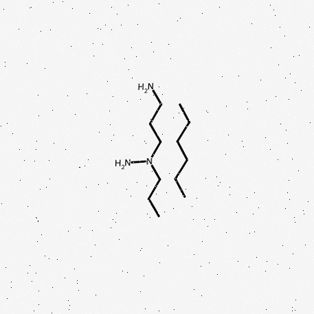 CCCCCC.CCCN(N)CCCN